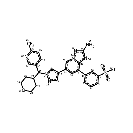 CCS(=O)(=O)c1cccc(-c2cc(-c3cnn(C(c4ccc(C(F)(F)F)nc4)C4CCOCC4)c3)cn3nc(N)nc23)c1